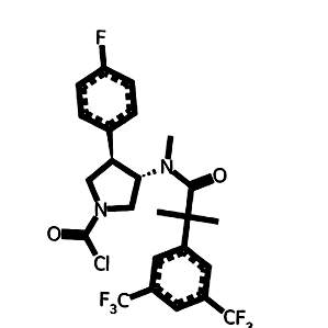 CN(C(=O)C(C)(C)c1cc(C(F)(F)F)cc(C(F)(F)F)c1)[C@@H]1CN(C(=O)Cl)C[C@H]1c1ccc(F)cc1